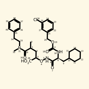 CC(CC(ONC(=O)[C@H](CC1CCCCC1)NC(=O)OCc1cccc(Cl)c1)C(=O)O)C(=O)N(C)CCc1ccccc1